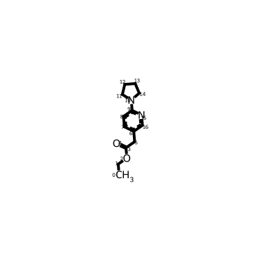 CCOC(=O)Cc1ccc(N2CCCC2)nc1